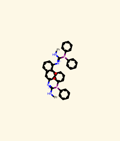 CC(C)N/C(=N/c1ccc2c(/N=C(\NC(C)C)P(c3ccccc3)c3ccccc3)cccc2c1)P(c1ccccc1)c1ccccc1